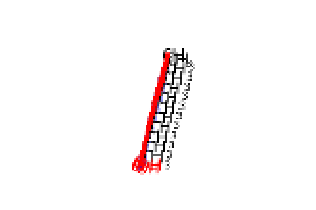 CC(C)=CCC/C(C)=C/CC/C(C)=C/CC/C(C)=C/CC/C(C)=C/CC/C(C)=C/CC/C(C)=C/CC/C(C)=C/CC/C(C)=C/CC/C(C)=C/CC/C(C)=C/COP(=O)(O)O